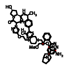 COCOc1ccccc1-c1cc(N2CC3CCC(C2)N3c2ccnc(OCCN3CCN(CCOc4cnn(C(C(=O)N5C[C@H](O)C[C@H]5C(=O)N[C@@H](C)c5ccc(-c6scnc6C)cc5)C(C)C)c4)CC3)c2)c(N)nn1